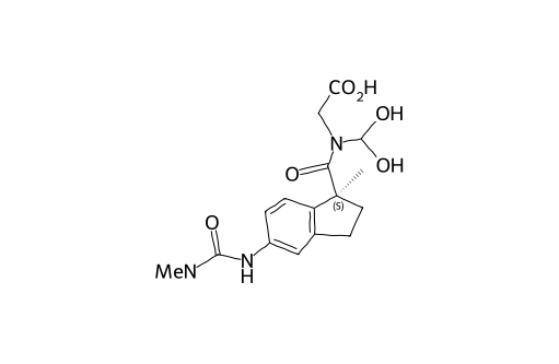 CNC(=O)Nc1ccc2c(c1)CC[C@]2(C)C(=O)N(CC(=O)O)C(O)O